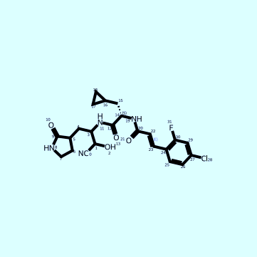 N#CC(O)C(CC1CCNC1=O)NC(=O)[C@H](CC1CC1)NC(=O)/C=C/c1ccc(Cl)cc1F